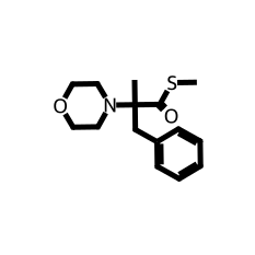 CSC(=O)C(C)(Cc1ccccc1)N1CCOCC1